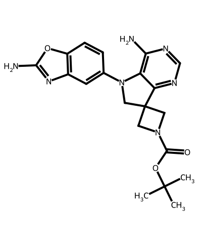 CC(C)(C)OC(=O)N1CC2(C1)CN(c1ccc3oc(N)nc3c1)c1c(N)ncnc12